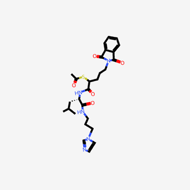 CC(=O)SC(CCCN1C(=O)c2ccccc2C1=O)C(=O)N[C@@H](CC(C)C)C(=O)NCCCn1ccnc1